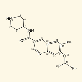 O=C(NC1CCNCC1)c1cnc2cc(OC(F)F)c(F)cc2c1